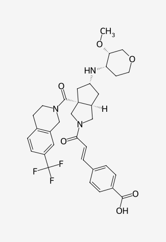 CO[C@@H]1COCC[C@@H]1N[C@@H]1C[C@H]2CN(C(=O)/C=C/c3ccc(C(=O)O)cc3)C[C@@]2(C(=O)N2CCc3ccc(C(F)(F)F)cc3C2)C1